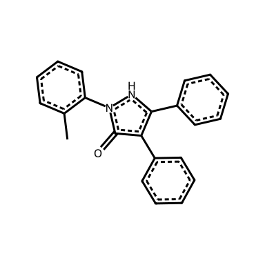 Cc1ccccc1-n1[nH]c(-c2ccccc2)c(-c2ccccc2)c1=O